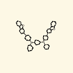 c1ccc(N(c2ccc(-c3ccc4c(c3)oc3ccccc34)cc2)c2ccc(N(c3ccccc3)c3ccc(-c4ccc5c(c4)oc4ccccc45)cc3)cc2)cc1